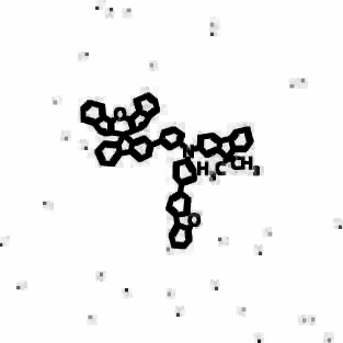 CC1(C)c2ccccc2-c2ccc(N(c3ccc(-c4ccc5c(c4)oc4ccccc45)cc3)c3cccc(-c4ccc5c(c4)C4(c6ccccc6-5)c5ccc6ccccc6c5Oc5c4ccc4ccccc54)c3)cc21